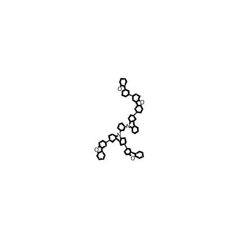 c1cc(-n2c3ccccc3c3cc(-c4ccc5oc6ccc(-c7ccc8oc9ccccc9c8c7)cc6c5c4)ccc32)cc(-n2c3ccc(-c4ccc5oc6ccccc6c5c4)cc3c3cc(-c4ccc5oc6ccccc6c5c4)ccc32)c1